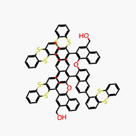 OCc1cc(-c2cccc3c2Sc2ccccc2S3)c(Oc2ccc3cc(-c4cccc5c4Sc4ccccc4S5)ccc3c2-c2c(Oc3c(-c4cccc5c4Sc4ccccc4S5)cc(CO)c4ccccc34)ccc3cc(-c4cccc5c4Sc4ccccc4S5)ccc23)c2ccccc12